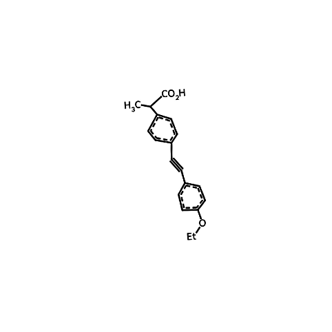 CCOc1ccc(C#Cc2ccc(C(C)C(=O)O)cc2)cc1